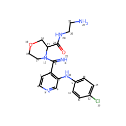 N=C(c1ccncc1Nc1ccc(Cl)cc1)N1CCOCC1C(=O)NCCN